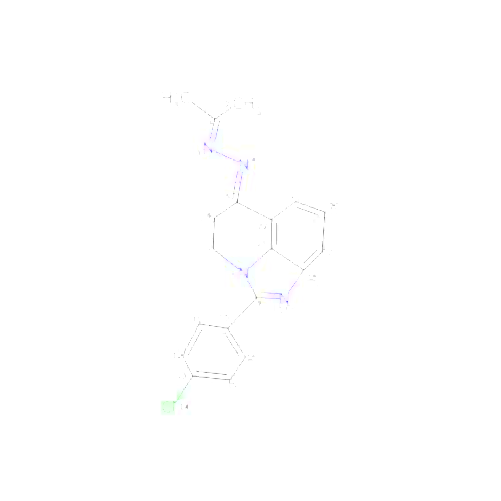 CC(C)=N/N=C1\CCn2c(-c3ccc(Cl)cc3)nc3cccc1c32